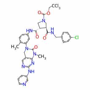 Cc1ccc(NC(=O)[C@@H]2CN(C(=O)OCC(Cl)(Cl)Cl)C[C@H]2C(=O)NCc2ccc(Cl)cc2)cc1N1Cc2cnc(Nc3cccnc3)nc2N(C)C1=O